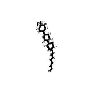 CCCCCCC=Cc1ccc(-c2ccc(C3CCC(F)(F)CC3)cc2)cc1